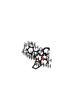 [2H]C([2H])([2H])c1nnc(C(C)C([2H])([2H])[2H])n1C1CC2CCC(C1)N2C([2H])([2H])CC(NC(=O)C1C([2H])([2H])C([2H])([2H])C(F)(F)C([2H])([2H])C1([2H])[2H])c1ccccc1